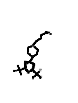 CC(C)(C)c1nc(N2CCN(CCCN)CC2)cc(C(F)(F)F)n1